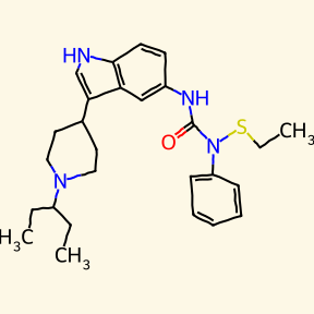 CCSN(C(=O)Nc1ccc2[nH]cc(C3CCN(C(CC)CC)CC3)c2c1)c1ccccc1